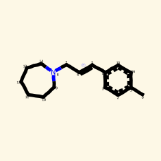 Cc1ccc(/C=C/CN2CCCCCC2)cc1